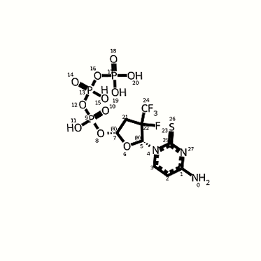 Nc1ccn([C@@H]2O[C@H](OP(=O)(O)OP(=O)(O)OP(=O)(O)O)CC2(F)C(F)(F)F)c(=S)n1